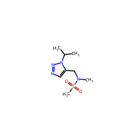 CC(C)n1nncc1CN(C)S(C)(=O)=O